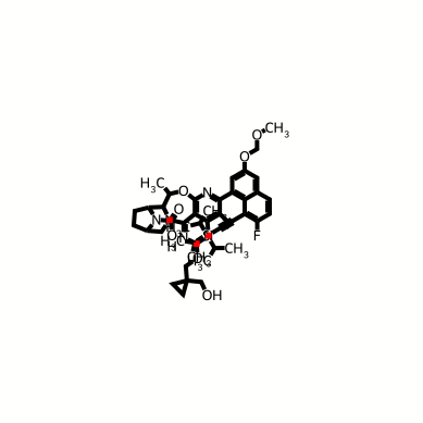 COCOc1cc(-c2nc3c4c(nc(OCC5(CO)CC5)nc4c2F)N2CC4CCC(C2C(C)O3)N4C(=O)O)c2c(C#C[Si](C(C)C)(C(C)C)C(C)C)c(F)ccc2c1